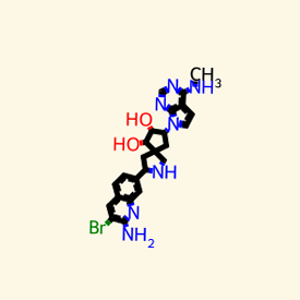 CNc1ncnc2c1ccn2C1CC2(CNC(c3ccc4cc(Br)c(N)nc4c3)C2)C(O)C1O